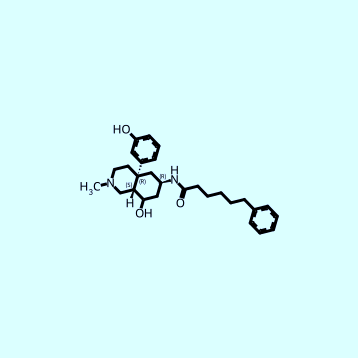 CN1CC[C@@]2(c3cccc(O)c3)C[C@@H](NC(=O)CCCCCc3ccccc3)CC(O)[C@@H]2C1